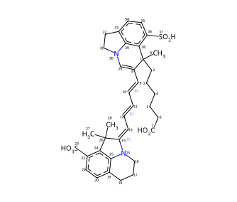 CC1(CCCCCC(=O)O)C(/C=C/C=C/C=C2/N3CCCc4ccc(S(=O)(=O)O)c(c43)C2(C)C)=CN2CCc3ccc(S(=O)(=O)O)c1c32